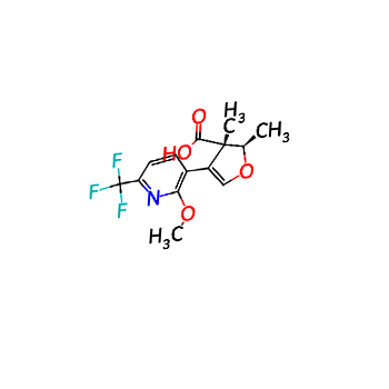 COc1nc(C(F)(F)F)ccc1C1=CO[C@H](C)[C@@]1(C)C(=O)O